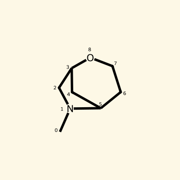 CN1CC2CC1CCO2